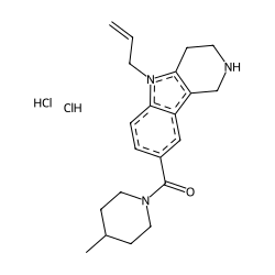 C=CCn1c2c(c3cc(C(=O)N4CCC(C)CC4)ccc31)CNCC2.Cl.Cl